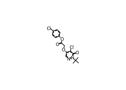 CC(C)(C)n1ncc(OCC(=O)Oc2ccc(Cl)cc2)c(Cl)c1=O